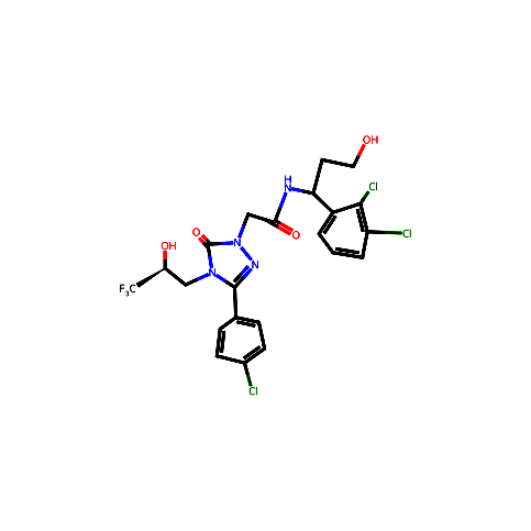 O=C(Cn1nc(-c2ccc(Cl)cc2)n(C[C@H](O)C(F)(F)F)c1=O)NC(CCO)c1cccc(Cl)c1Cl